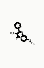 COc1ccn2c(=O)c(C)c(-c3ccccc3)nc2c1